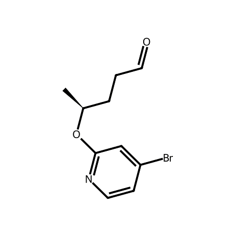 C[C@@H](CCC=O)Oc1cc(Br)ccn1